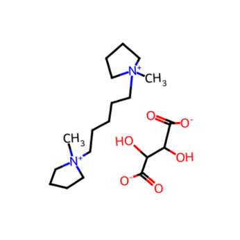 C[N+]1(CCCCC[N+]2(C)CCCC2)CCCC1.O=C([O-])C(O)C(O)C(=O)[O-]